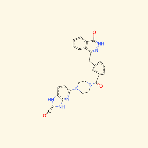 O=C=C1Nc2ccc(N3CCN(C(=O)c4cccc(Cc5n[nH]c(=O)c6ccccc56)c4)CC3)nc2N1